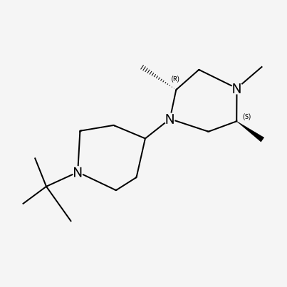 C[C@@H]1CN(C)[C@@H](C)CN1C1CCN(C(C)(C)C)CC1